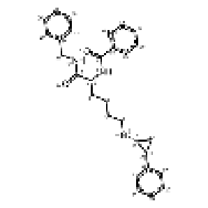 O=C(N[C@@H](CCCCN[C@@H]1C[C@H]1c1ccccc1)C(=O)NCc1ccccc1)c1ccccn1